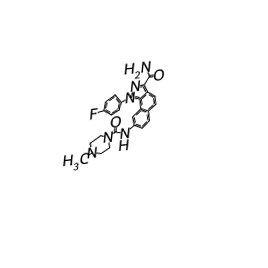 CN1CCN(C(=O)Nc2ccc3ccc4c(C(N)=O)nn(-c5ccc(F)cc5)c4c3c2)CC1